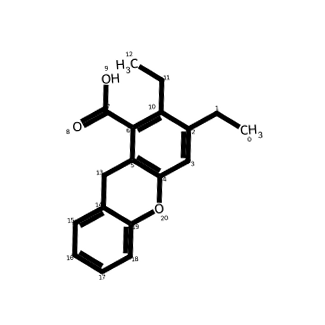 CCc1cc2c(c(C(=O)O)c1CC)Cc1ccccc1O2